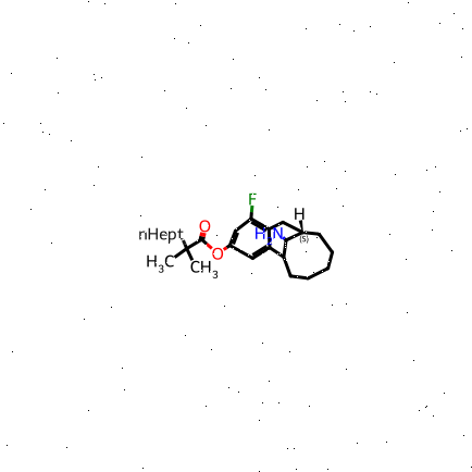 CCCCCCCC(C)(C)C(=O)Oc1cc(F)c2c(c1)C1CCCCC[C@@H](C2)C1N